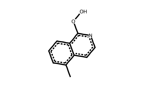 Cc1cccc2c(OO)nccc12